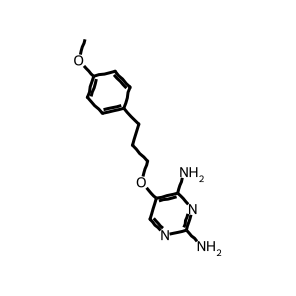 COc1ccc(CCCOc2cnc(N)nc2N)cc1